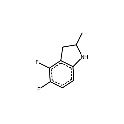 CC1Cc2c(ccc(F)c2F)N1